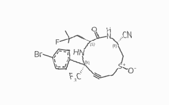 CC(C)(F)C[C@@H]1N[C@@](c2ccc(Br)cc2)(C(F)(F)F)C#CC[S+]([O-])C[C@@H](C#N)NC1=O